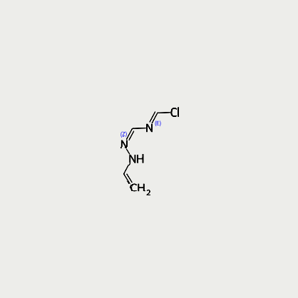 C=CN/N=C\N=C\Cl